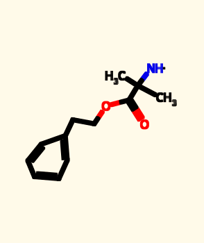 CC(C)([NH])C(=O)OCCc1ccccc1